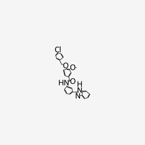 COc1cc(C(=O)Nc2cccc(-c3nc4ccccc4[nH]3)c2)ccc1OCc1ccc(Cl)cc1